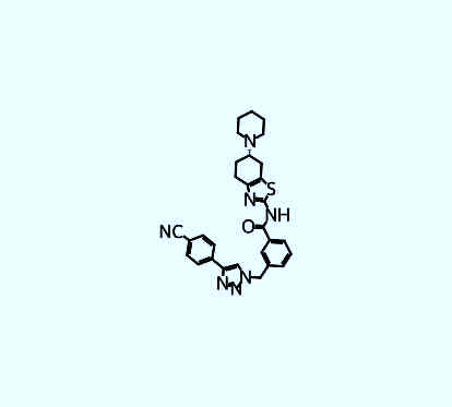 N#Cc1ccc(-c2cn(Cc3cccc(C(=O)Nc4nc5c(s4)C[C@@H](N4CCCCC4)CC5)c3)nn2)cc1